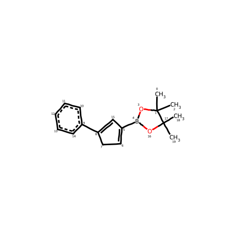 CC1(C)OB(C2=CCC(c3ccccc3)=C2)OC1(C)C